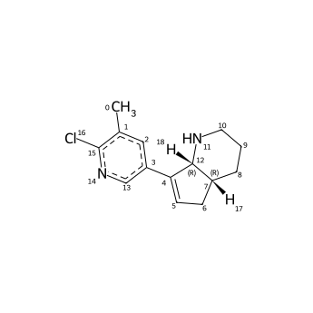 Cc1cc(C2=CC[C@H]3CCCN[C@@H]23)cnc1Cl